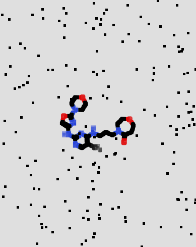 O=C1CCOCCN1CCCNc1nc(Nc2coc(N3CCOCC3)n2)ncc1C(F)(F)F